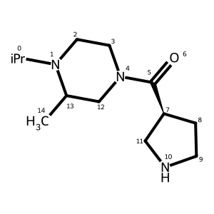 CC(C)N1CCN(C(=O)[C@H]2CCNC2)CC1C